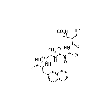 CC[C@H](C)C(NC(=O)[C@H](CC(C)C)NC(=O)O)C(=O)C(=O)N[C@@H](C)C(=O)N[C@@H](Cc1ccc2ccccc2c1)C(N)=O